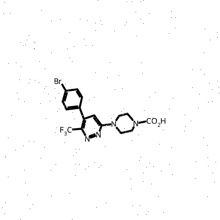 O=C(O)N1CCN(c2cc(-c3ccc(Br)cc3)c(C(F)(F)F)nn2)CC1